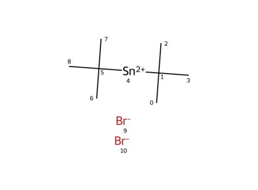 C[C](C)(C)[Sn+2][C](C)(C)C.[Br-].[Br-]